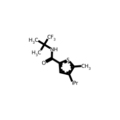 Cc1sc(C(=O)NC(C)(C)C(F)(F)F)cc1C(C)C